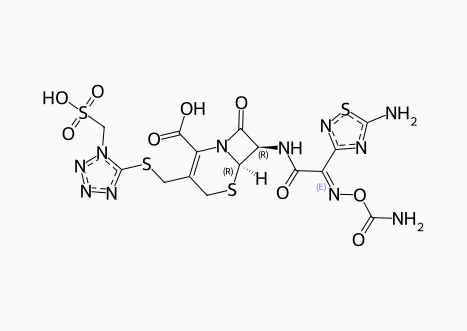 NC(=O)O/N=C(/C(=O)N[C@@H]1C(=O)N2C(C(=O)O)=C(CSc3nnnn3CS(=O)(=O)O)CS[C@H]12)c1nsc(N)n1